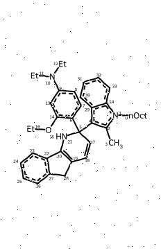 CCCCCCCCn1c(C)c(C2(c3ccc(N(CC)CC)cc3OCC)C=CC3=C(N2)c2ccccc2C3)c2ccccc21